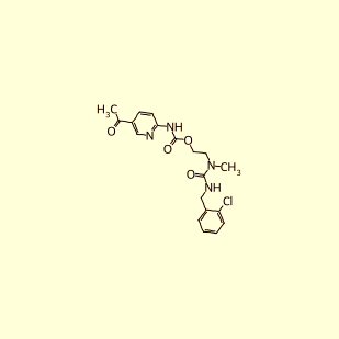 CC(=O)c1ccc(NC(=O)OCCN(C)C(=O)NCc2ccccc2Cl)nc1